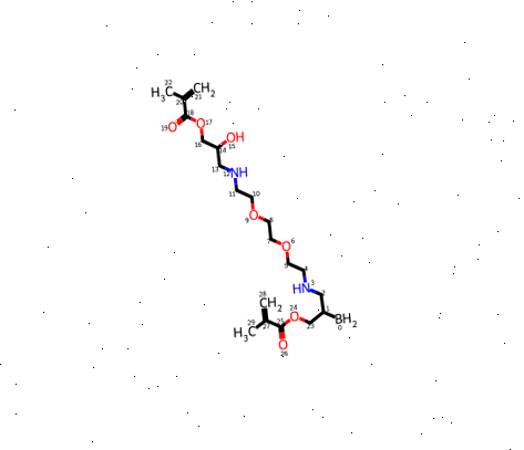 BC(CNCCOCCOCCNCC(O)COC(=O)C(=C)C)COC(=O)C(=C)C